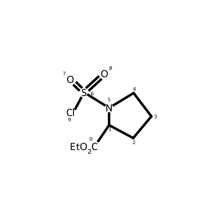 CCOC(=O)C1CCCN1S(=O)(=O)Cl